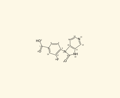 O=C(O)c1ccc(-n2c(=O)[nH]c3cnccc32)c(F)c1